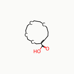 O=C(O)C1=CCCCCCCCCCCCCC1